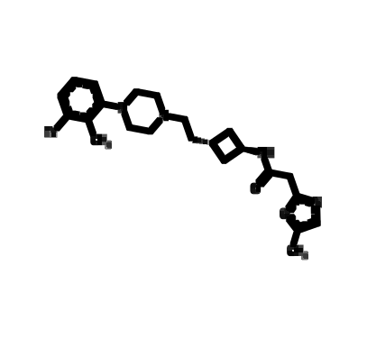 CCc1cccc(N2CCN(CC[C@H]3C[C@H](NC(=O)Cc4ncc(C)o4)C3)CC2)c1C